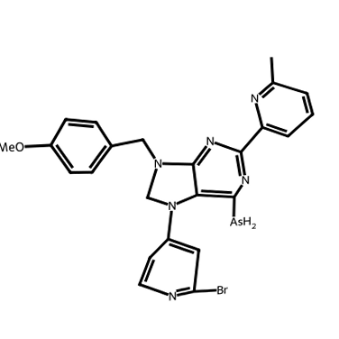 COc1ccc(CN2CN(c3ccnc(Br)c3)c3c([AsH2])nc(-c4cccc(C)n4)nc32)cc1